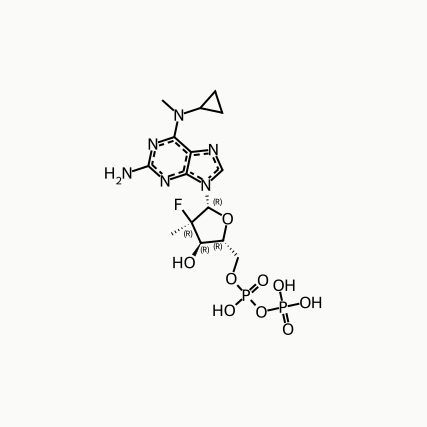 CN(c1nc(N)nc2c1ncn2[C@@H]1O[C@H](COP(=O)(O)OP(=O)(O)O)[C@@H](O)[C@@]1(C)F)C1CC1